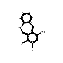 Oc1cc(F)c(F)c2c1=Cc1ccccc1SC=2